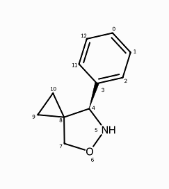 c1ccc([C@H]2NOCC23CC3)cc1